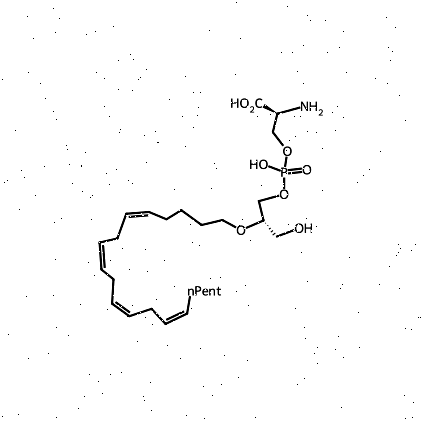 CCCCC/C=C\C/C=C\C/C=C\C/C=C\CCCCO[C@@H](CO)COP(=O)(O)OC[C@H](N)C(=O)O